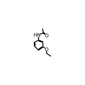 CCOc1cccc(NC(C)=O)c1